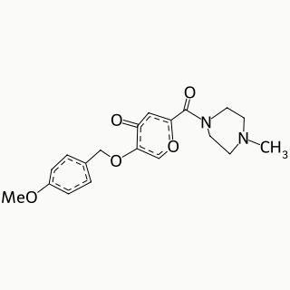 COc1ccc(COc2coc(C(=O)N3CCN(C)CC3)cc2=O)cc1